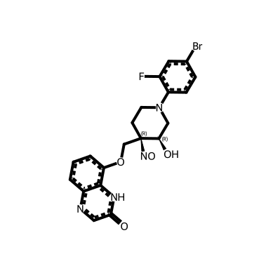 O=N[C@@]1(COc2cccc3ncc(=O)[nH]c23)CCN(c2ccc(Br)cc2F)C[C@H]1O